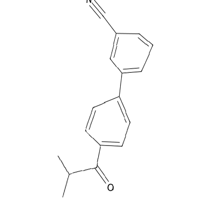 CC(C)C(=O)c1ccc(-c2cccc(C#N)c2)cc1